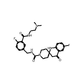 CN(C)CCNC(=O)c1cc(CNC(=O)N2CCC3(CC2)CC(=O)c2cc(F)ccc2N3)ccc1F